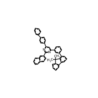 CC1(C)c2ccccc2-c2cccc(-c3cccc(-c4cc(-c5ccc(-c6ccccc6)cc5)nc(-c5ccc6ccccc6c5)n4)c3)c21